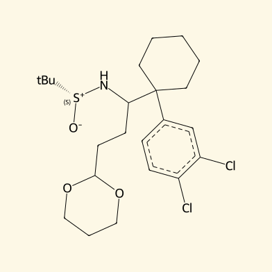 CC(C)(C)[S@@+]([O-])NC(CCC1OCCCO1)C1(c2ccc(Cl)c(Cl)c2)CCCCC1